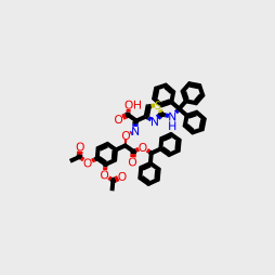 CC(=O)Oc1ccc([C@@H](ON=C(C(=O)O)c2csc(NC(c3ccccc3)(c3ccccc3)c3ccccc3)n2)C(=O)OC(c2ccccc2)c2ccccc2)cc1OC(C)=O